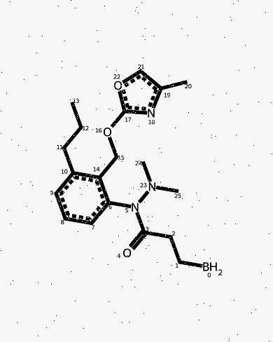 BCCC(=O)N(c1cccc(CCC)c1COc1nc(C)co1)N(C)C